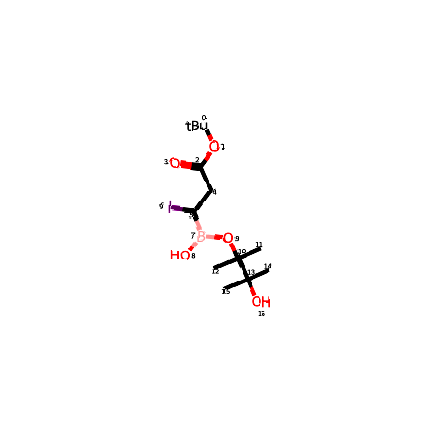 CC(C)(C)OC(=O)CC(I)B(O)OC(C)(C)C(C)(C)O